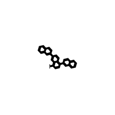 Ic1ccc(-c2ccc3ccccc3c2)c2ccc(-c3ccc4ccccc4c3)cc12